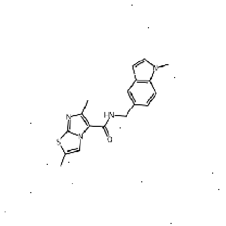 Cc1cn2c(C(=O)NCc3ccc4c(ccn4C)c3)c(C)nc2s1